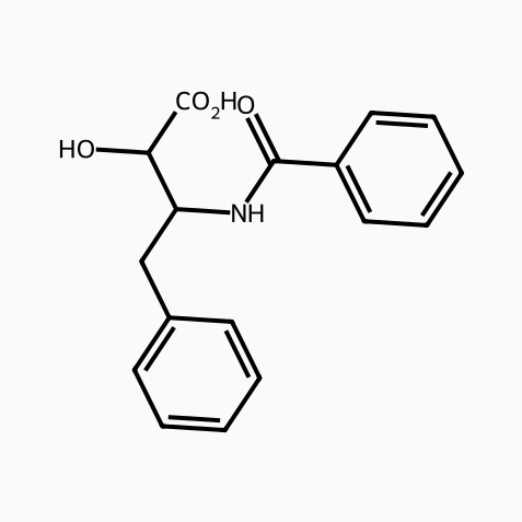 O=C(NC(Cc1ccccc1)C(O)C(=O)O)c1ccccc1